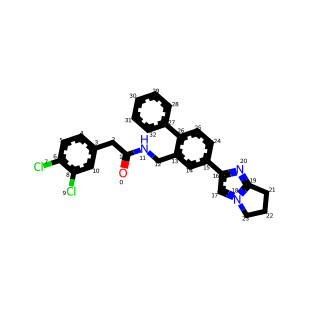 O=C(Cc1ccc(Cl)c(Cl)c1)NCc1cc(-c2cn3c(n2)CCC3)ccc1-c1ccccc1